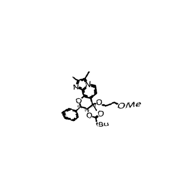 COCCO[C@@]1(C)c2ccn3c(C)c(C)nc3c2O[C@H](c2ccccc2)[C@H]1OC(=O)C(C)(C)C